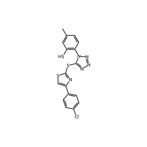 Cc1ccc(-n2nnnc2Sc2nc(-c3ccc(Cl)cc3)cs2)c(S)c1